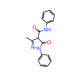 CC1=NN(c2ccccc2)C(=O)C1C(=O)Nc1ccccc1